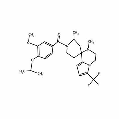 COc1cc(C(=O)N2CCC3(C[C@H]2C)c2ccc(C(F)(F)F)n2CCN3C)ccc1OC(C)C